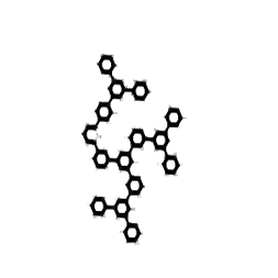 c1ccc(-c2cc(-c3ccccc3)cc(-c3ccc(-c4cccc(-c5cccc(-c6cc(-c7cccc(-c8cc(-c9ccccc9)cc(-c9ccccc9)c8)c7)cc(-c7cccc(-c8cc(-c9ccccc9)cc(-c9ccccc9)c8)c7)c6)c5)n4)cc3)c2)cc1